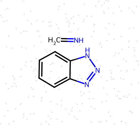 C=N.c1ccc2[nH]nnc2c1